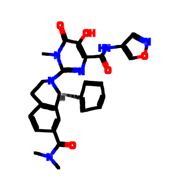 CN(C)C(=O)c1ccc2c(c1)[C@@H](c1ccccc1)N(c1nc(C(=O)Nc3cnoc3)c(O)c(=O)n1C)CC2